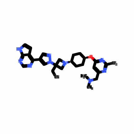 CN(C)Cc1cc(O[C@H]2CC[C@@H](N3CC(CC#N)(n4cc(-c5ncnc6[nH]ccc56)cn4)C3)CC2)nc(C(F)(F)F)n1